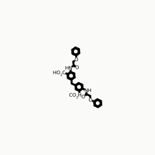 O=C(COc1ccccc1)Nc1ccc(Cc2ccc(NC(=O)COc3ccccc3)c(C(=O)O)c2)cc1C(=O)O